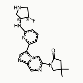 CC1(C)CC(=O)N(c2cn3c(-c4cccc(N[C@H]5CNC[C@@H]5F)n4)cnc3cn2)C1